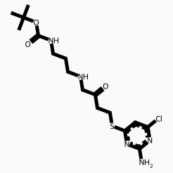 CC(C)(C)OC(=O)NCCCNCC(=O)CCSc1cc(Cl)nc(N)n1